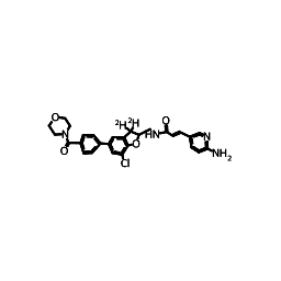 [2H]C1([2H])c2cc(-c3ccc(C(=O)N4CCOCC4)cc3)cc(Cl)c2OC1CNC(=O)C=Cc1ccc(N)nc1